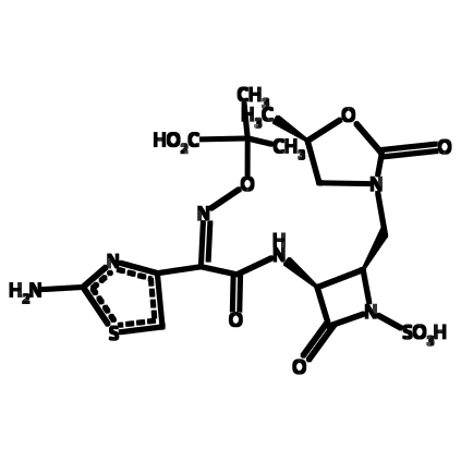 C[C@@H]1CN(C[C@@H]2[C@H](NC(=O)C(=NOC(C)(C)C(=O)O)c3csc(N)n3)C(=O)N2S(=O)(=O)O)C(=O)O1